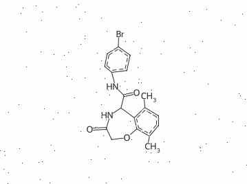 Cc1ccc(C)c2c1OCC(=O)NC2C(=O)Nc1ccc(Br)cc1